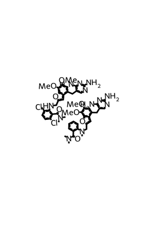 COc1cc(Cc2cnc(N)nc2N)c2cc(CN(C)c3ccccc3C(=O)N(C)C)oc2c1OC.COc1cc(Cc2cnc(N)nc2N)c2cc(CNc3c(Cl)ccc(Cl)c3C(=O)N(C)C)oc2c1OC